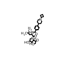 CC(C)CC(NC(=O)c1ccc(C2CCN(C3CCC3)CC2)cc1)C(=O)N1C[C@H](O)[C@H]2OCC(=O)[C@H]21